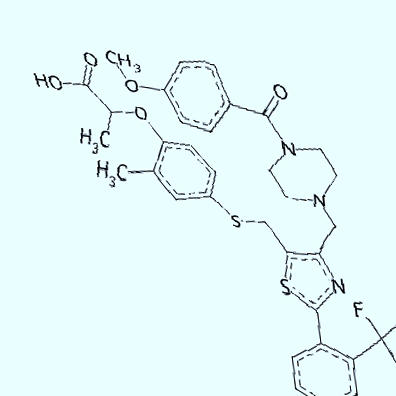 COc1ccc(C(=O)N2CCN(Cc3nc(-c4ccccc4C(F)(F)F)sc3CSc3ccc(OC(C)C(=O)O)c(C)c3)CC2)cc1